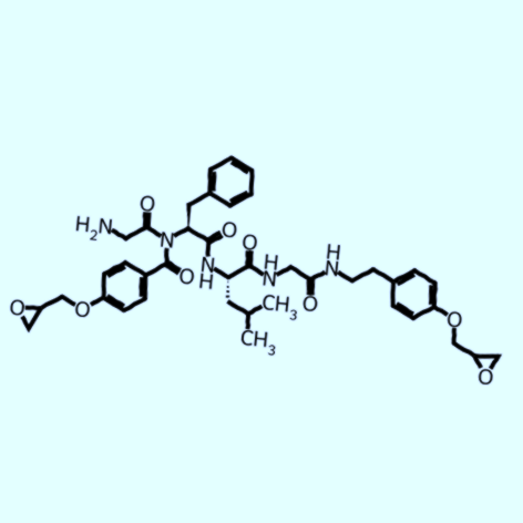 CC(C)C[C@H](NC(=O)[C@H](Cc1ccccc1)N(C(=O)CN)C(=O)c1ccc(OCC2CO2)cc1)C(=O)NCC(=O)NCCc1ccc(OCC2CO2)cc1